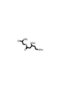 CCCCCCCCCCCCC(CCCCCCCCCC)CC(=O)OCC(CC)CCCC